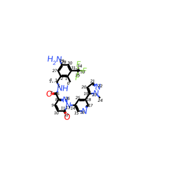 Cc1c([C@@H](C)NC(=O)c2ccc(=O)n(-c3cncc(-c4ccnn4C)c3)n2)cc(N)cc1C(F)(F)F